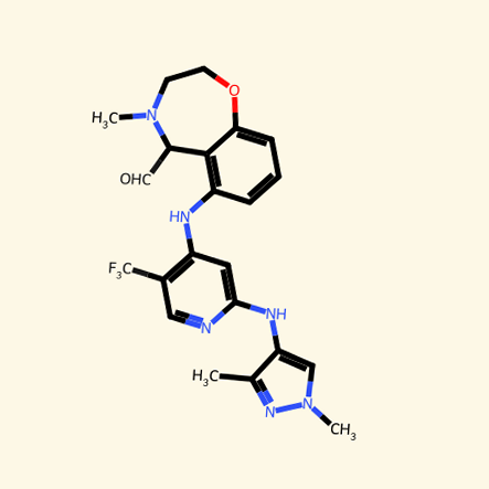 Cc1nn(C)cc1Nc1cc(Nc2cccc3c2C(C=O)N(C)CCO3)c(C(F)(F)F)cn1